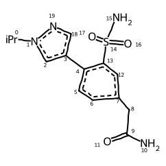 CC(C)n1cc(-c2ccc(CC(N)=O)cc2S(N)(=O)=O)cn1